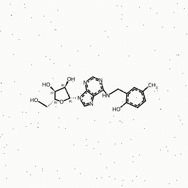 Cc1ccc(O)c(CNc2ncnc3c2ncn3[C@@H]2O[C@H](CO)[C@@H](O)[C@H]2O)c1